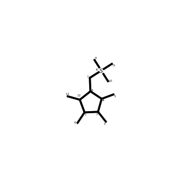 CC1C(C)C(C)C(CS(C)(C)C)C1C